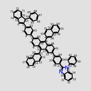 C1=C(c2ccc(-c3ccc4c(-c5ccc6ccccc6c5)c5cc(-c6ccc(-c7nc8ccccc8n7-c7ccccc7)cc6)ccc5c(-c5ccc6ccccc6c5)c4c3)cc2)C(c2ccccc2)c2ccccc21